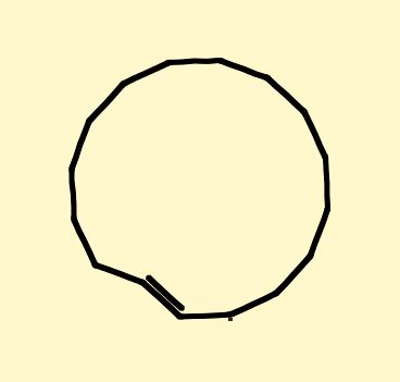 [CH]1/C=C/CCCCCCCCCCCCC1